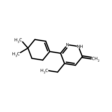 C=C1C=C(CC)C(C2=CCC(C)(C)CC2)=NN1